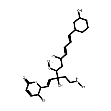 CCC1C=CC(=O)OC1C=CC(O)(CCNC(C)C)C(CC(O)C=CC=CC1CCCC(O)C1)OP